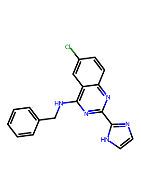 Clc1ccc2nc(-c3ncc[nH]3)nc(NCc3ccccc3)c2c1